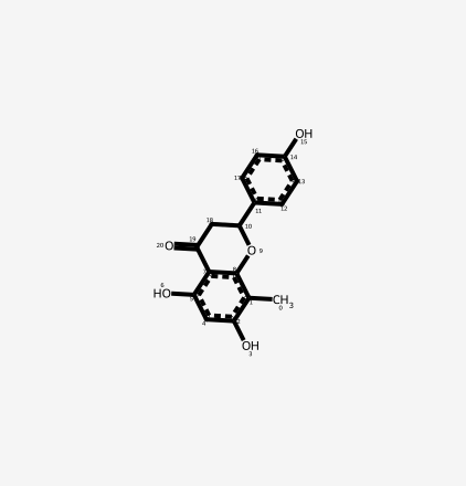 Cc1c(O)cc(O)c2c1OC(c1ccc(O)cc1)CC2=O